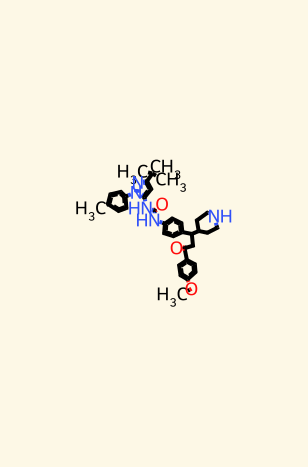 COc1ccc(C(=O)CC(c2ccc(NC(=O)Nc3cc(C(C)(C)C)nn3-c3ccc(C)cc3)cc2)C2CCNCC2)cc1